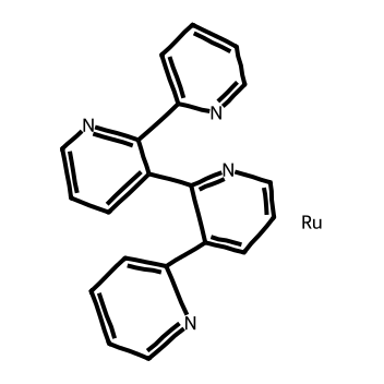 [Ru].c1ccc(-c2cccnc2-c2cccnc2-c2ccccn2)nc1